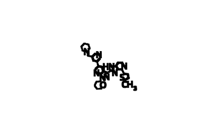 Cc1ccc(-c2nccc3[nH]c(-c4nn(C5CCCCO5)c5ncc(-c6cncc(CN7CCCCC7)c6)cc45)nc23)s1